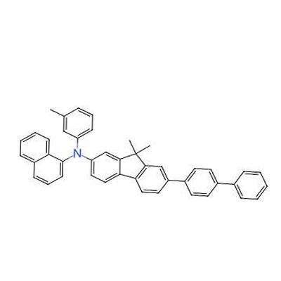 Cc1cccc(N(c2ccc3c(c2)C(C)(C)c2cc(-c4ccc(-c5ccccc5)cc4)ccc2-3)c2cccc3ccccc23)c1